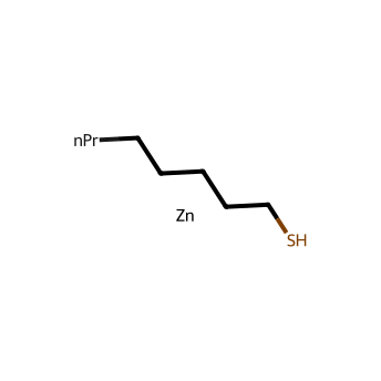 CCCCCCCCS.[Zn]